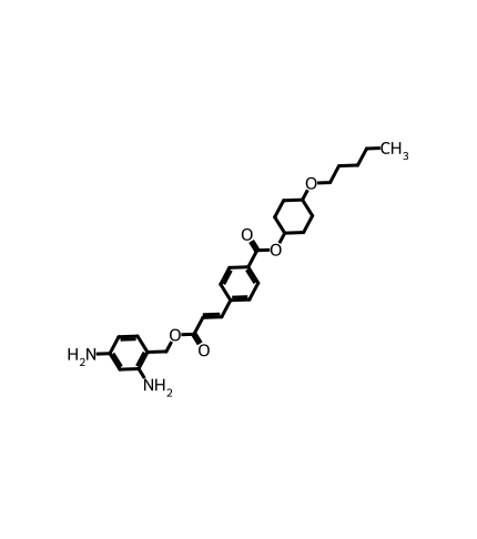 CCCCCOC1CCC(OC(=O)c2ccc(/C=C/C(=O)OCc3ccc(N)cc3N)cc2)CC1